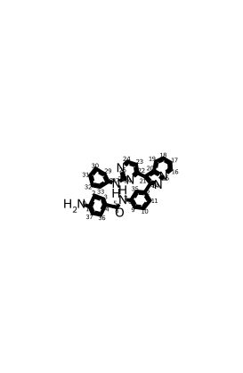 Nc1ccc(C(=O)Nc2cccc(-c3nn4ccccc4c3-c3ccnc(Nc4ccccc4)n3)c2)cc1